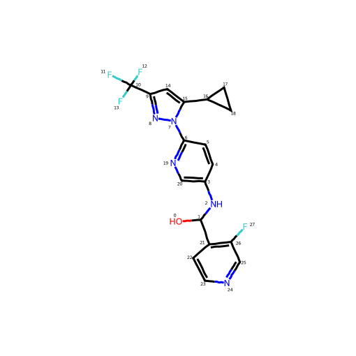 OC(Nc1ccc(-n2nc(C(F)(F)F)cc2C2CC2)nc1)c1ccncc1F